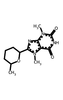 CC1CCCC(c2nc3c(c(=O)[nH]c(=O)n3C)n2C)O1